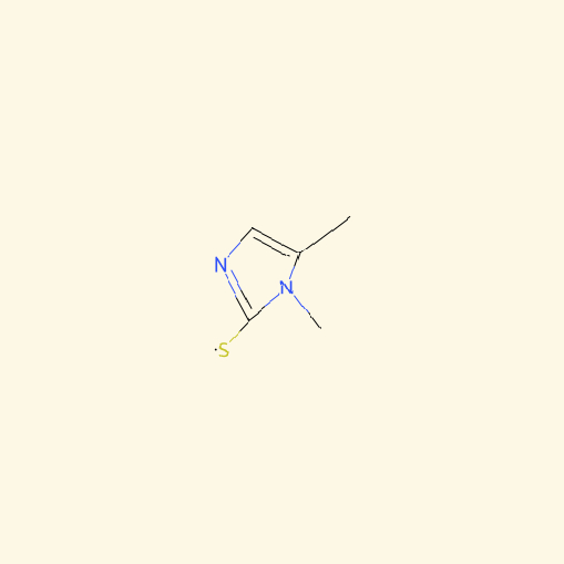 Cc1cnc([S])n1C